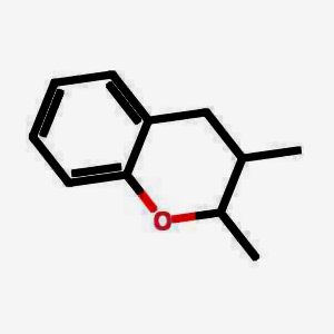 CC1Cc2ccccc2OC1C